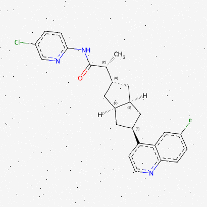 C[C@@H](C(=O)Nc1ccc(Cl)cn1)[C@@H]1C[C@H]2C[C@@H](c3ccnc4ccc(F)cc34)C[C@H]2C1